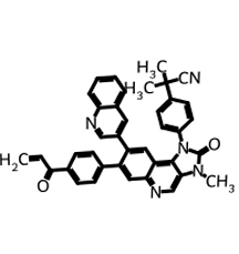 C=CC(=O)c1ccc(-c2cc3ncc4c(c3cc2-c2cnc3ccccc3c2)n(-c2ccc(C(C)(C)C#N)cc2)c(=O)n4C)cc1